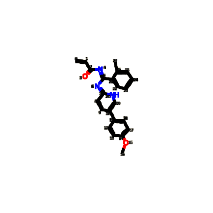 C=CC(=O)/N=C(\N=c1\ccc(-c2ccc(OC)cc2)c[nH]1)c1ccccc1C